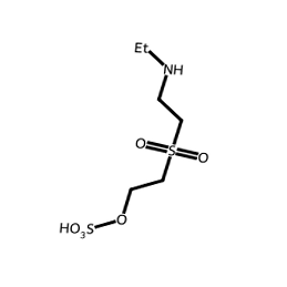 CCNCCS(=O)(=O)CCOS(=O)(=O)O